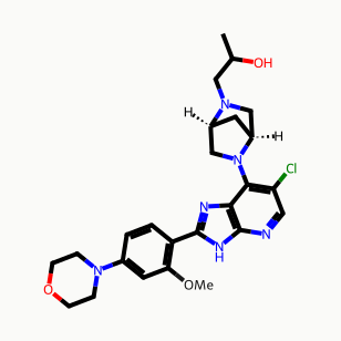 COc1cc(N2CCOCC2)ccc1-c1nc2c(N3C[C@@H]4C[C@H]3CN4CC(C)O)c(Cl)cnc2[nH]1